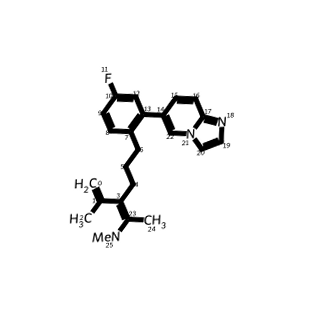 C=C(C)/C(CCCc1ccc(F)cc1-c1ccc2nccn2c1)=C(/C)NC